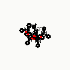 Fc1cc(F)cc(-c2cc(-n3c4cc(-c5nc(-c6ccccc6)nc(-c6ccccc6)n5)ccc4c4ccc(-c5nc(-c6ccccc6)nc(-c6ccccc6)n5)cc43)c(-n3c4cc(-c5nc(-c6ccccc6)nc(-c6ccccc6)n5)ccc4c4ccc(-c5nc(-c6ccccc6)nc(-c6ccccc6)n5)cc43)cc2C(F)(F)F)c1